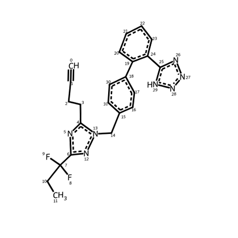 C#CCCc1nc(C(F)(F)CC)nn1Cc1ccc(-c2ccccc2-c2nnn[nH]2)cc1